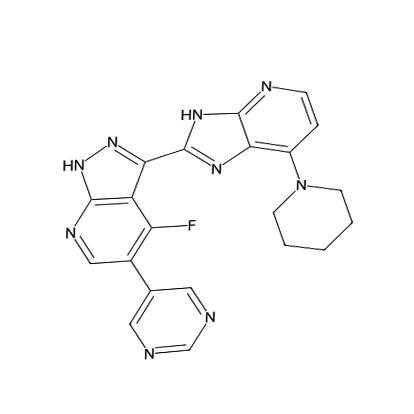 Fc1c(-c2cncnc2)cnc2[nH]nc(-c3nc4c(N5CCCCC5)ccnc4[nH]3)c12